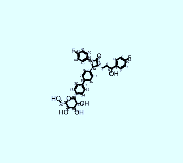 O=C1[C@H](CC[C@H](O)c2ccc(F)cc2)[C@@H](c2ccc(-c3ccc([C@H]4O[C@@H](CO)[C@H](O)[C@@H](O)[C@@H]4O)cc3)cc2)N1c1ccc(F)cc1